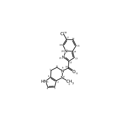 CN1c2cc[nH]c2CCN1C(=O)c1cc2ccc(Cl)cn2n1